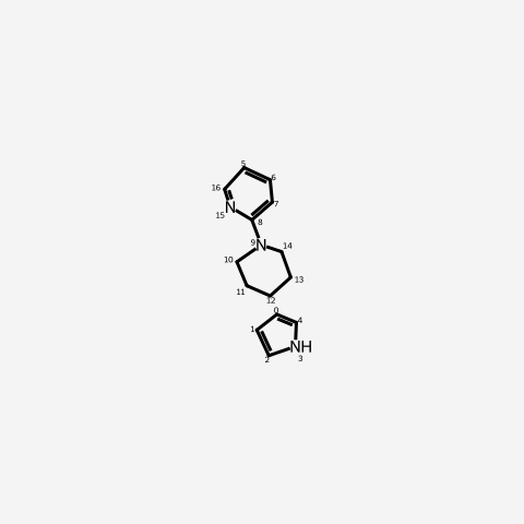 c1cc[nH]c1.c1ccc(N2CCCCC2)nc1